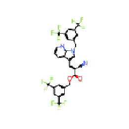 N#C/C(=C\c1cn(Cc2cc(C(F)(F)F)cc(C(F)(F)F)c2)c2ncccc12)C(=O)OCc1cc(C(F)(F)F)cc(C(F)(F)F)c1